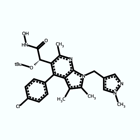 Cc1nc2c(c(C)c(C)n2Cc2cnn(C)c2)c(-c2ccc(Cl)cc2)c1[C@H](OC(C)(C)C)C(=O)NO